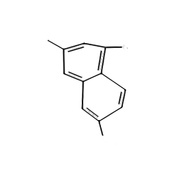 Nc1cc(C=O)cc2cc(S(=O)(=O)O)ccc12